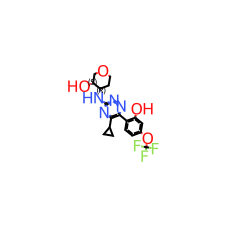 Oc1cc(OC(F)(F)F)ccc1-c1nnc(N[C@@H]2CCOC[C@H]2O)nc1C1CC1